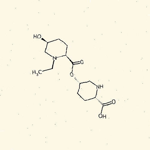 CCN1C[C@@H](O)CC[C@H]1C(=O)O[C@H]1CC[C@@H](C(=O)O)NC1